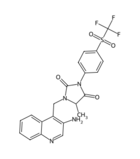 CC1C(=O)N(c2ccc(S(=O)(=O)C(F)(F)F)cc2)C(=O)N1Cc1c(N)cnc2ccccc12